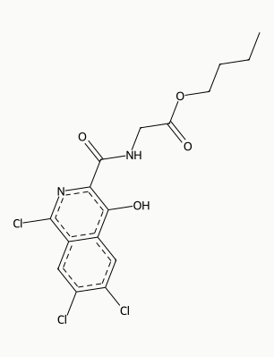 CCCCOC(=O)CNC(=O)c1nc(Cl)c2cc(Cl)c(Cl)cc2c1O